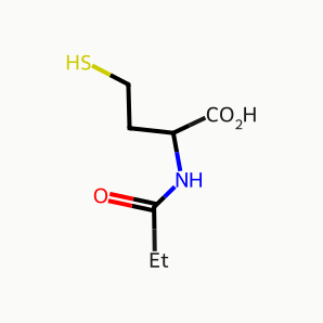 CCC(=O)NC(CCS)C(=O)O